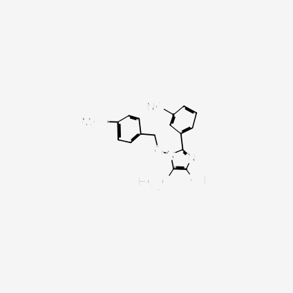 COc1ccc(COn2c(-c3cccc(C#N)c3)nc(C)c2C(=O)O)cc1